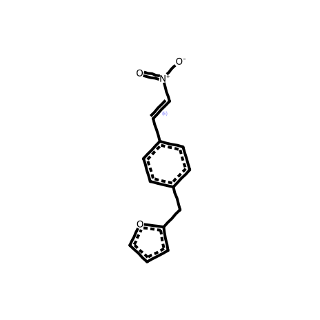 O=[N+]([O-])/C=C/c1ccc(Cc2ccco2)cc1